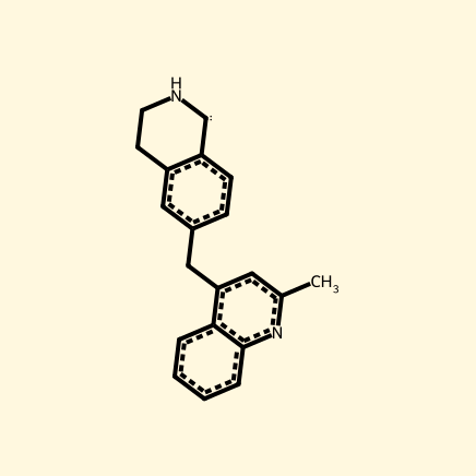 Cc1cc(Cc2ccc3c(c2)CCN[C]3)c2ccccc2n1